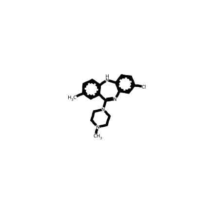 Cc1ccc2c(c1)C(N1CCN(C)CC1)=Nc1cc(Cl)ccc1N2